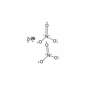 O=[N+]([O-])[O-].O=[N+]([O-])[O-].[Ni].[Zn+2]